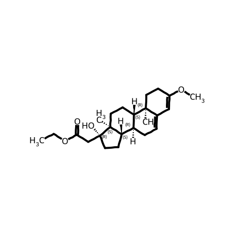 CCOC(=O)C[C@]1(O)CC[C@H]2[C@@H]3CC=C4C=C(OC)CC[C@]4(C)[C@H]3CC[C@@]21C